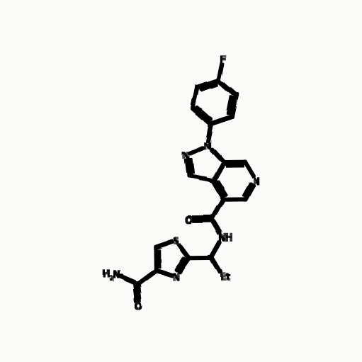 CCC(NC(=O)c1cncc2c1cnn2-c1ccc(F)cc1)c1nc(C(N)=O)cs1